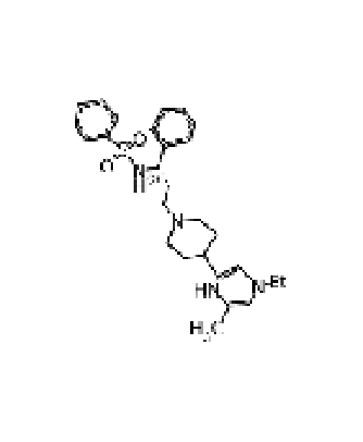 CCN1C=C(C)NC(C2CCN(CC[C@H](NS(=O)(=O)c3ccccc3)c3ccccc3)CC2)=C1